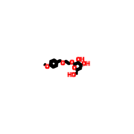 COc1ccc(COCCO[C@@H]2O[C@H](CO)C[C@H](O)[C@H]2O)cc1